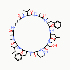 CCC(C)C1NC(=O)C(Cc2ccccc2)N(C)C(=O)C2CCCNN2C(=O)C(CO)N(C)C(=O)C(CC(C)C)NC(=O)C(Cc2ccccc2)N(C)C(=O)C(C)NC(=O)C(C(C)C)N(C)C(=O)CCNC(=O)C(C)N(C)C1=O